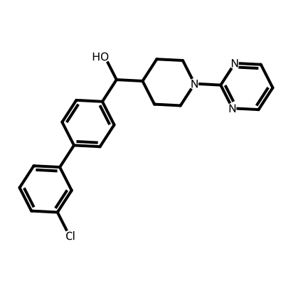 OC(c1ccc(-c2cccc(Cl)c2)cc1)C1CCN(c2ncccn2)CC1